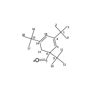 CC(C)(C)C1=CC(C=O)(C(C)(C)C)CC(C(C)(C)C)=C1